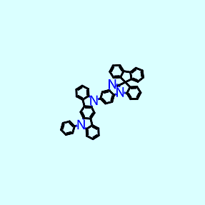 c1ccc(-n2c3ccccc3c3cc4c(cc32)c2ccccc2n4-c2ccc3c(c2)nc2n3-c3ccccc3C23c2ccccc2-c2ccccc23)cc1